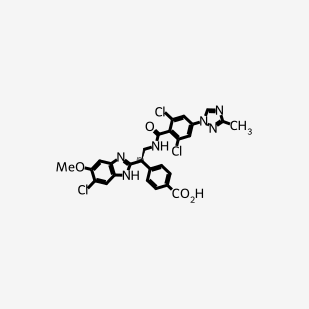 COc1cc2nc([C@@H](CNC(=O)c3c(Cl)cc(-n4cnc(C)n4)cc3Cl)c3ccc(C(=O)O)cc3)[nH]c2cc1Cl